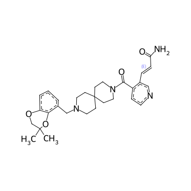 CC1(C)COc2cccc(CN3CCC4(CC3)CCN(C(=O)c3ccncc3/C=C/C(N)=O)CC4)c2O1